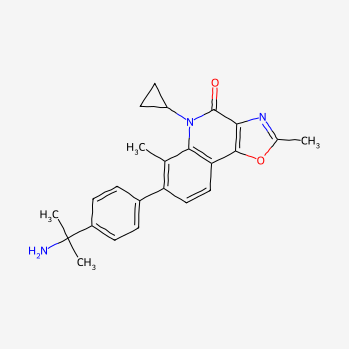 Cc1nc2c(=O)n(C3CC3)c3c(C)c(-c4ccc(C(C)(C)N)cc4)ccc3c2o1